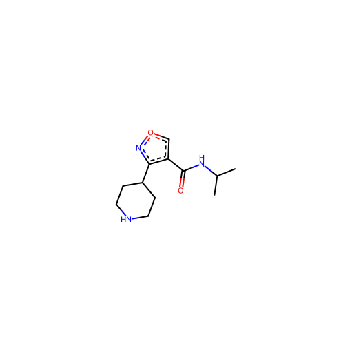 CC(C)NC(=O)c1conc1C1CCNCC1